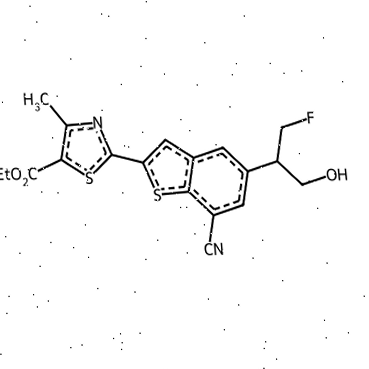 CCOC(=O)c1sc(-c2cc3cc(C(CO)CF)cc(C#N)c3s2)nc1C